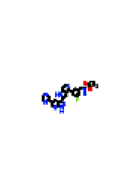 CS(=O)(=O)NCc1cc(F)cc(-c2nccc3[nH]c(-c4n[nH]c5ncc(-c6cnccn6)cc45)cc23)c1